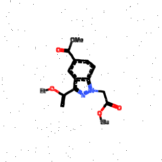 C=C(OCC)c1nn(CC(=O)OC(C)(C)C)c2ccc(C(=O)OC)cc12